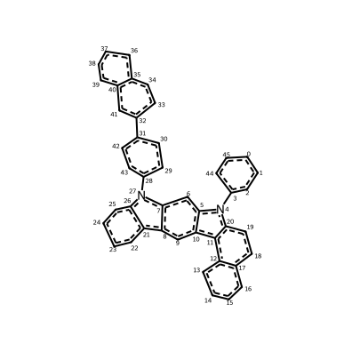 c1ccc(-n2c3cc4c(cc3c3c5ccccc5ccc32)c2ccccc2n4-c2ccc(-c3ccc4ccccc4c3)cc2)cc1